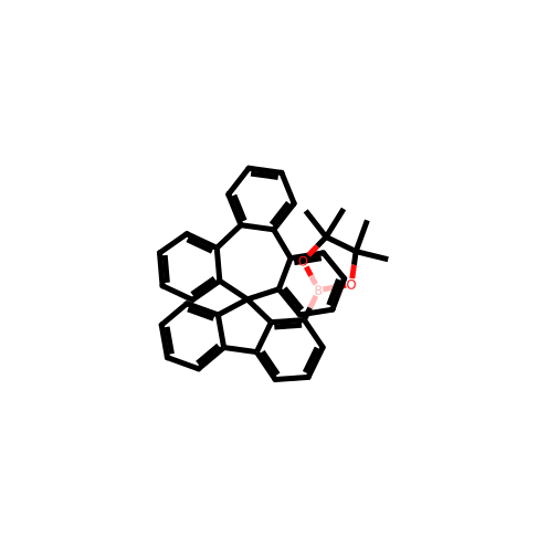 CC1(C)OB(c2cccc3c2C2(c4ccccc4-c4ccccc4-c4ccccc42)c2ccccc2-3)OC1(C)C